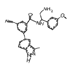 COc1cccc(C(CN)NC(=O)c2cc(C#N)cc(-c3ccc4[nH]nc(C)c4c3)c2)c1